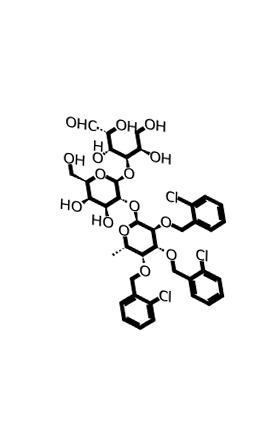 C[C@@H]1O[C@@H](O[C@H]2[C@H](O[C@@H]([C@H](O)[C@@H](O)C=O)[C@H](O)CO)O[C@H](CO)[C@H](O)[C@@H]2O)[C@@H](OCc2ccccc2Cl)[C@H](OCc2ccccc2Cl)[C@@H]1OCc1ccccc1Cl